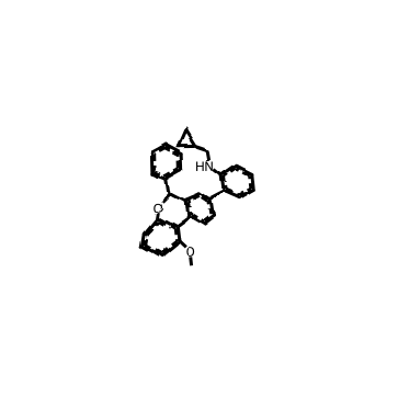 COc1cccc2c1-c1ccc(-c3ccccc3NCC3CC3)cc1C(c1ccccc1)O2